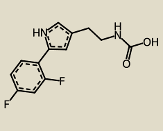 O=C(O)NCCc1c[nH]c(-c2ccc(F)cc2F)c1